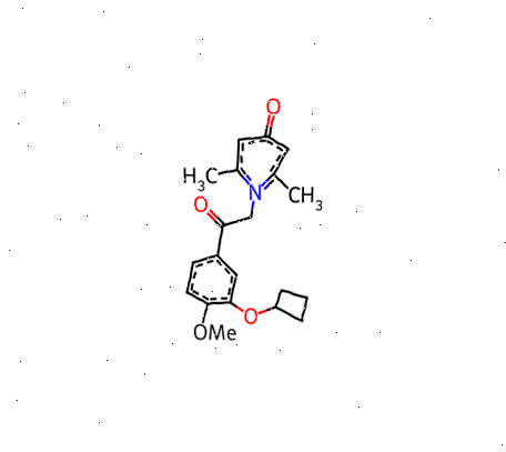 COc1ccc(C(=O)Cn2c(C)cc(=O)cc2C)cc1OC1CCC1